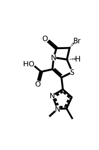 Cc1cc(C2=C(C(=O)O)N3C(=O)[C@H](Br)[C@H]3S2)nn1C